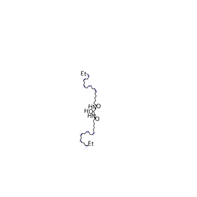 CC/C=C\C/C=C\C/C=C\C/C=C\C/C=C\CCCCCC(=O)NCC(O)CNC(=O)CCCCC/C=C\C/C=C\C/C=C\C/C=C\C/C=C\CC